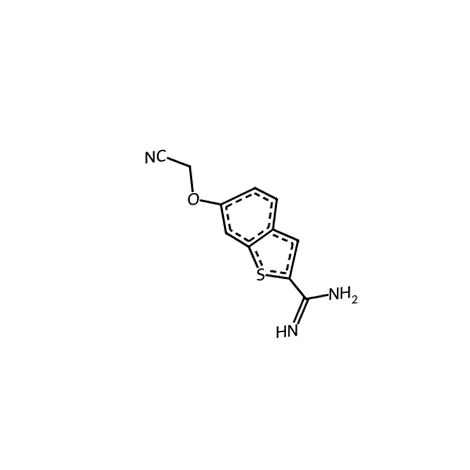 N#CCOc1ccc2cc(C(=N)N)sc2c1